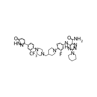 NC(=O)c1nnc(N2CCCCC2)nc1Nc1ccc(N2CCC(CN3CCN(c4ccc(-c5ccc(=O)[nH]n5)cc4C(F)(F)F)CC3)CC2)c(F)c1